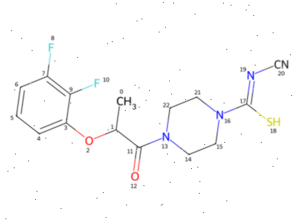 CC(Oc1cccc(F)c1F)C(=O)N1CCN(/C(S)=N/C#N)CC1